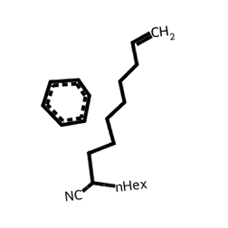 C=CCCCCCCC(C#N)CCCCCC.c1ccccc1